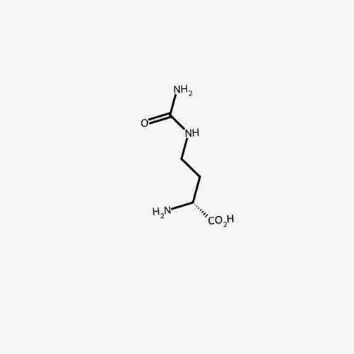 NC(=O)NCC[C@@H](N)C(=O)O